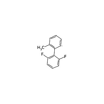 Cc1ccc[c]c1-c1c(F)cccc1F